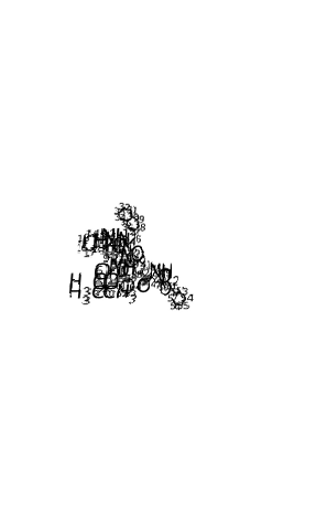 CC(C)(C)OC(=O)N[C@@H](Cc1c[nH]c2ccccc12)C(=O)N(C(=O)[C@@H](N)Cc1ccc2ccccc2c1)C(=O)[C@@H]1CCC(C(=O)[C@@H](N)CC(=O)OCc2ccccc2)[C@@H]1c1ccccc1